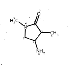 CC1C(=O)N(C)CC1N